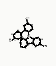 N#Cc1ccc(-n2c3ccccc3c3cc(C#N)ccc32)c(-c2ccc(Br)cc2)c1